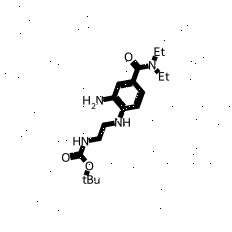 CCN(CC)C(=O)c1ccc(NCCNC(=O)OC(C)(C)C)c(N)c1